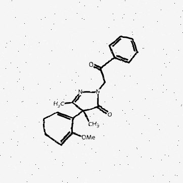 COC1=CCCC=C1C1(C)C(=O)N(CC(=O)c2ccccc2)N=C1C